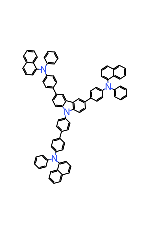 c1ccc(N(c2ccc(-c3ccc(-n4c5ccc(-c6ccc(N(c7ccccc7)c7cccc8ccccc78)cc6)cc5c5cc(-c6ccc(N(c7ccccc7)c7cccc8ccccc78)cc6)ccc54)cc3)cc2)c2cccc3ccccc23)cc1